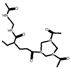 CCC(CCC(=O)N1CN(C(C)=O)CN(C(C)=O)C1)C(=O)NCNC(C)=O